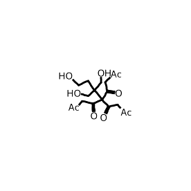 CC(=O)CC(=O)C(C(=O)CC(C)=O)(C(=O)CC(C)=O)C(CO)(CO)CCO